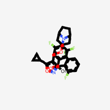 COC(=O)c1cc(F)c(N2C3CCC2CC(OCc2c(-c4c(F)cccc4F)noc2C2CC2)C3)c(F)c1